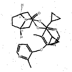 Cc1ncccc1Oc1ncnc(OC2C[C@@H]3CC[C@@H](C2)N3C(=O)OC(C2CC2)C2CC2)c1C